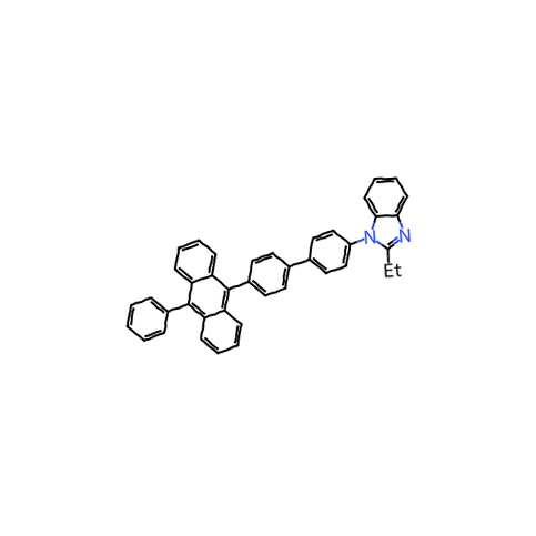 CCc1nc2ccccc2n1-c1ccc(-c2ccc(-c3c4ccccc4c(-c4ccccc4)c4ccccc34)cc2)cc1